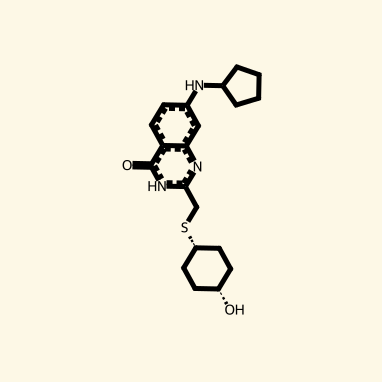 O=c1[nH]c(CS[C@H]2CC[C@@H](O)CC2)nc2cc(NC3CCCC3)ccc12